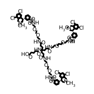 CN1Cc2c(Cl)cc(Cl)cc2[C@H](c2cccc(S(=O)(=O)NCCOCCOCCNC(=O)CCC(CCC(=O)NCCOCCOCCNS(=O)(=O)c3cccc([C@@H]4CN(C)Cc5c(Cl)cc(Cl)cc54)c3)(CCC(=O)NCCOCCOCCNS(=O)(=O)c3cccc([C@@H]4CN(C)Cc5c(Cl)cc(Cl)cc54)c3)NC(=O)CCCC(=O)O)c2)C1